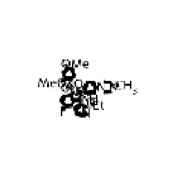 CCOc1ncccc1C1(Nc2cccc(N3CCN(C)CC3)c2)C(=O)N(S(=O)(=O)c2ccc(OC)cc2OC)c2ccc(I)cc21